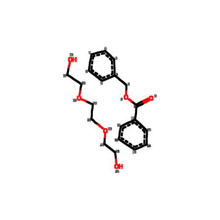 O=C(OCc1ccccc1)c1ccccc1.OCCOCCOCCO